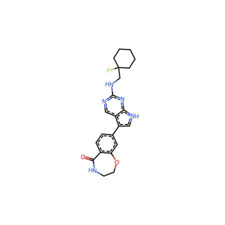 O=C1NCCOc2cc(-c3c[nH]c4nc(NCC5(F)CCCCC5)ncc34)ccc21